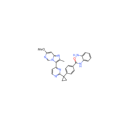 COc1cc2nc(C)c(-c3ccnc(C4(c5ccc(C(=O)Nc6ccccc6N)cc5)CC4)n3)n2cn1